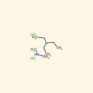 CCN(CC)CC.CNC.Cl.Cl